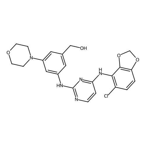 OCc1cc(Nc2nccc(Nc3c(Cl)ccc4c3OCO4)n2)cc(N2CCOCC2)c1